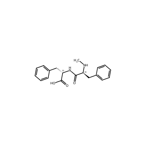 CN[C@@H](Cc1ccccc1)C(=O)N[C@@H](Cc1ccccc1)C(=O)O